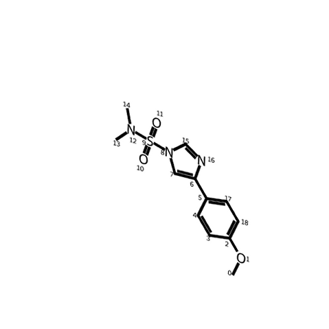 COc1ccc(-c2cn(S(=O)(=O)N(C)C)cn2)cc1